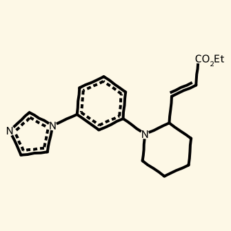 CCOC(=O)C=CC1CCCCN1c1cccc(-n2ccnc2)c1